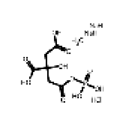 Cl.O.O=C(O)CC(O)(CC(=O)OP(=O)(O)O)C(=O)O.[NaH].[NaH]